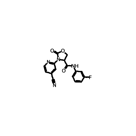 N#Cc1ccnc(N2C(=O)OCC2C(=O)Nc2cccc(F)c2)c1